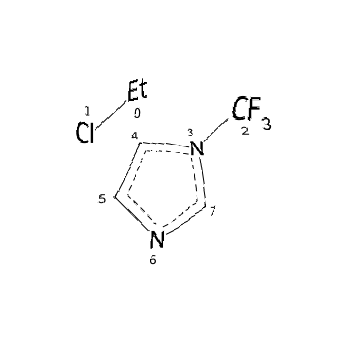 CCCl.FC(F)(F)n1ccnc1